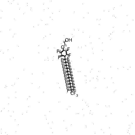 OCCOc1c(F)c(F)c(C(F)(F)C(F)(F)C(F)(F)C(F)(F)C(F)(F)C(F)(F)C(F)(F)C(F)(F)C(F)(F)C(F)(F)C(F)(F)C(F)(F)F)c(F)c1F